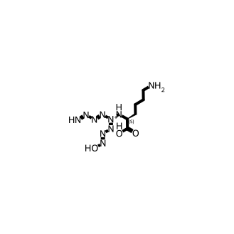 N=NN=N[N+](=NN=NO)N[C@@H](CCCCN)C(=O)O